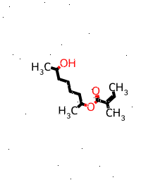 CC=C(C)C(=O)OC(C)CCCCC(C)O